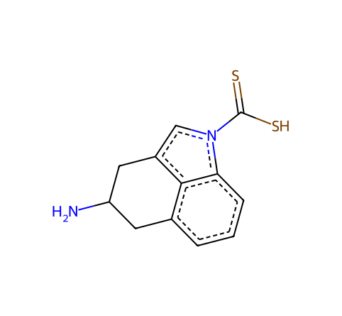 NC1Cc2cccc3c2c(cn3C(=S)S)C1